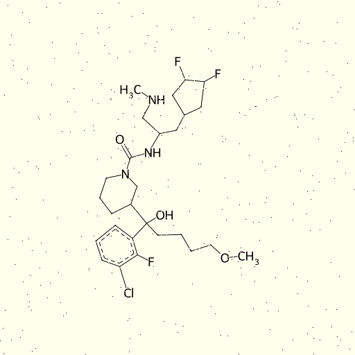 CNCC(CC1CC(F)C(F)C1)NC(=O)N1CCCC(C(O)(CCCCOC)c2cccc(Cl)c2F)C1